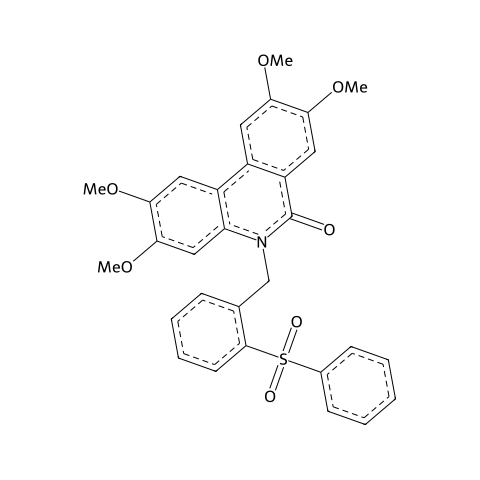 COc1cc2c(=O)n(Cc3ccccc3S(=O)(=O)c3ccccc3)c3cc(OC)c(OC)cc3c2cc1OC